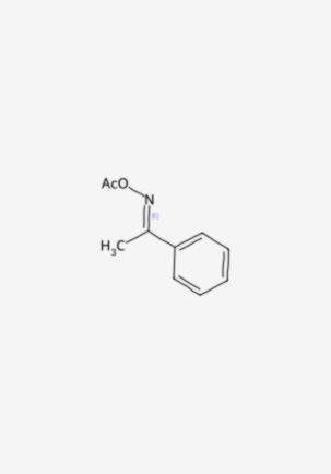 CC(=O)O/N=C(\C)c1ccccc1